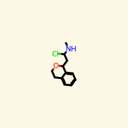 CNC(Cl)CC1OCCc2ccccc21